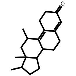 CC1CC2(C)C(C)CCC2C2CCC3=CC(=O)CCC3=C12